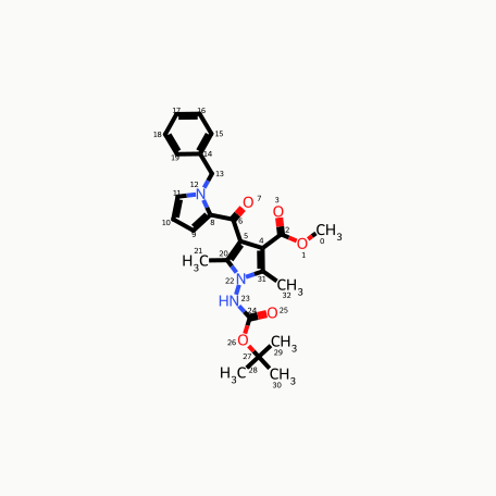 COC(=O)c1c(C(=O)c2cccn2Cc2ccccc2)c(C)n(NC(=O)OC(C)(C)C)c1C